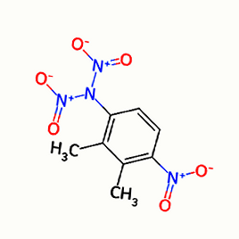 Cc1c(N([N+](=O)[O-])[N+](=O)[O-])ccc([N+](=O)[O-])c1C